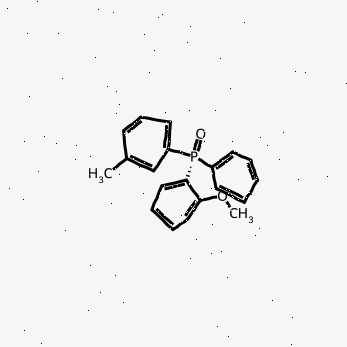 COc1ccccc1[P@](=O)(c1ccccc1)c1cccc(C)c1